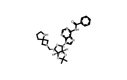 CC1(C)O[C@@H]2[C@H](O1)[C@@H](CN1CC3(CCCN3)C1)O[C@H]2n1cnc2c(NC(=O)c3ccccc3)ncnc21